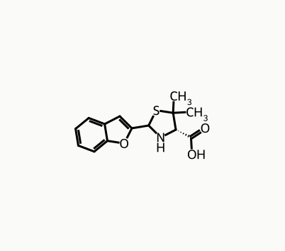 CC1(C)SC(c2cc3ccccc3o2)N[C@H]1C(=O)O